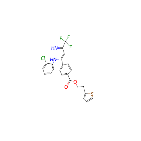 N=C(/C=C(\Nc1ccccc1Cl)c1ccc(C(=O)OCCc2cccs2)cc1)C(F)(F)F